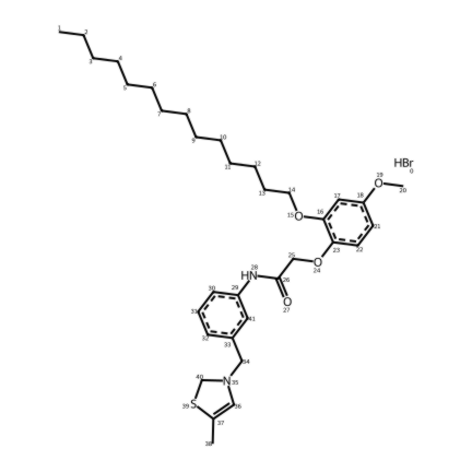 Br.CCCCCCCCCCCCCCOc1cc(OC)ccc1OCC(=O)Nc1cccc(CN2C=C(C)SC2)c1